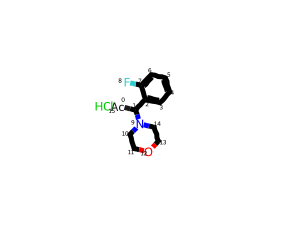 CC(=O)C(c1ccccc1F)N1CCOCC1.Cl